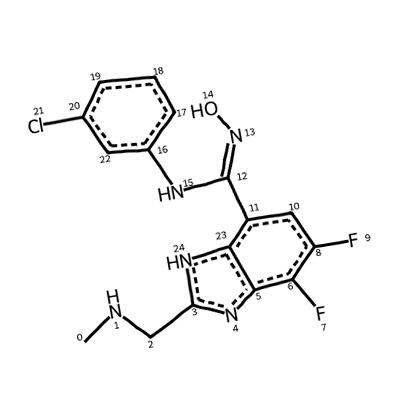 CNCc1nc2c(F)c(F)cc(/C(=N/O)Nc3cccc(Cl)c3)c2[nH]1